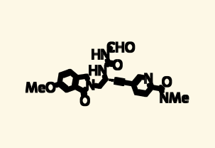 CNC(=O)c1ccc(C#C[C@H](CN2Cc3ccc(OC)cc3C2=O)NC(=O)NC=O)cn1